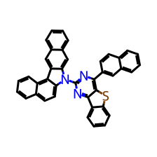 c1ccc2cc(-c3nc(-n4c5cc6ccccc6cc5c5c6ccccc6ccc54)nc4c3sc3ccccc34)ccc2c1